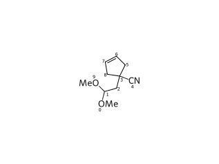 COC(CC1(C#N)CC=CC1)OC